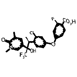 Cc1cc([C@@](O)([C@@H](C)c2ccc(Oc3ccc(C(=O)O)c(F)c3)cc2Cl)C(F)(F)F)cn(C)c1=O